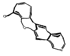 Clc1cccc2c1oc1cc3cnccc3cc12